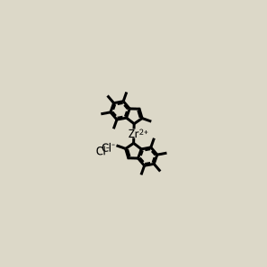 CC1=Cc2c(C)c(C)c(C)c(C)c2[CH]1[Zr+2][CH]1C(C)=Cc2c(C)c(C)c(C)c(C)c21.[Cl-].[Cl-]